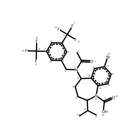 CC(=O)N(Cc1cc(C(F)(F)F)cc(C(F)(F)F)c1)C1CCC(C(C)C)N(C(=O)O)c2ccc(Br)cc21